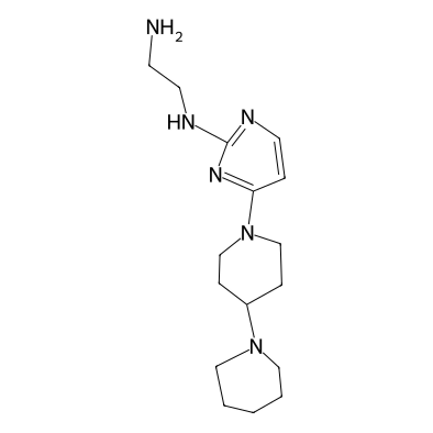 NCCNc1nccc(N2CCC(N3CCCCC3)CC2)n1